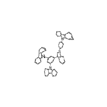 c1ccc2c(c1)c(-c1cc(-n3c4ccccc4c4ccccc43)cc(-n3c4ccccc4c4ccccc43)c1)cn2-c1ccc(-n2c3ccccc3c3ccccc32)cc1